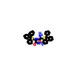 NC(=O)[C@H](CSC(c1ccccc1)(c1ccccc1)c1ccccc1)NC(=O)[C@@H](N)CSC(c1ccccc1)(c1ccccc1)c1ccccc1